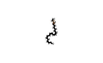 CC/C=C\C/C=C\C/C=C\C/C=C\CCCCCSCC